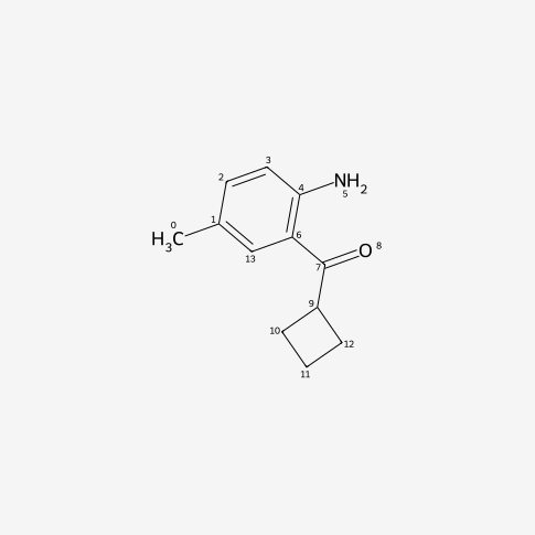 Cc1ccc(N)c(C(=O)C2CCC2)c1